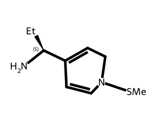 CC[C@H](N)C1=CCN(SC)C=C1